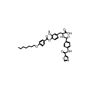 CCCCCCCOc1ccc(C(=O)Oc2ccc(CC(NC(=O)c3ccc(NC(=O)c4cnco4)cc3)C(=O)O)cc2OC)cc1